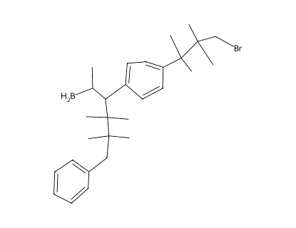 BC(C)C(c1ccc(C(C)(C)C(C)(C)CBr)cc1)C(C)(C)C(C)(C)Cc1ccccc1